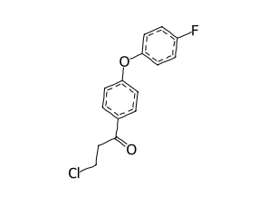 O=C(CCCl)c1ccc(Oc2ccc(F)cc2)cc1